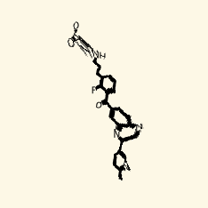 Cc1ccc(-c2cnc3ccc(C(=O)c4cccc(CCCN[SH](=O)=O)c4F)cc3n2)cn1